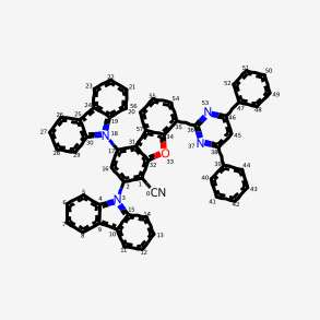 N#Cc1c(-n2c3ccccc3c3ccccc32)cc(-n2c3ccccc3c3ccccc32)c2c1oc1c(-c3nc(-c4ccccc4)cc(-c4ccccc4)n3)cccc12